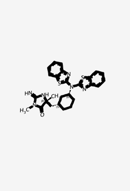 CN1C(=N)N[C@](C)(C[C@H]2CCC[C@@H](N(c3nc4ccccc4s3)c3nc4ccccc4s3)C2)C1=O